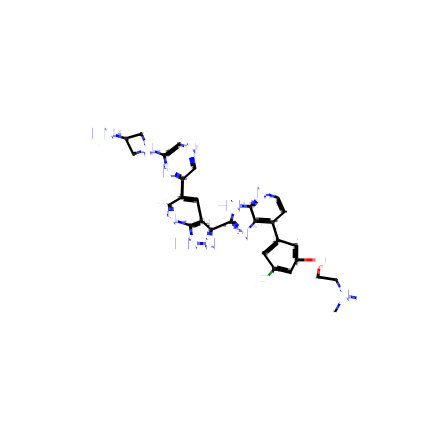 CN(C)CCOc1cc(F)cc(-c2ccnc3[nH]c(-c4n[nH]c5ncc(-c6cncc(N7CC(N)C7)n6)cc45)nc23)c1